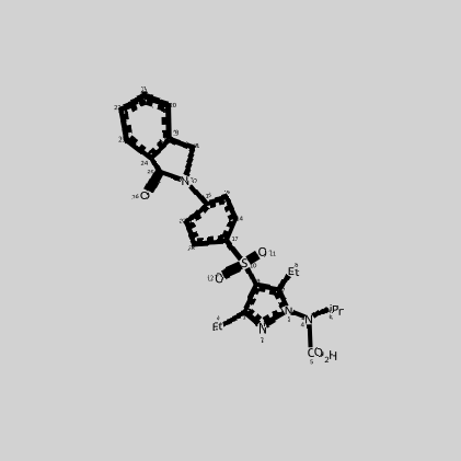 CCc1nn(N(C(=O)O)C(C)C)c(CC)c1S(=O)(=O)c1ccc(N2Cc3ccccc3C2=O)cc1